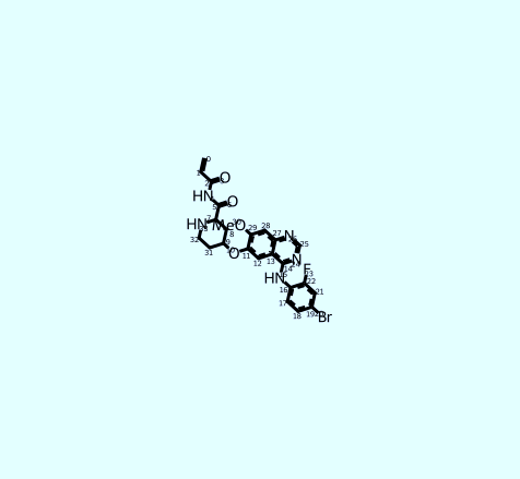 C=CC(=O)NC(=O)C1CC(Oc2cc3c(Nc4ccc(Br)cc4F)ncnc3cc2OC)CCN1